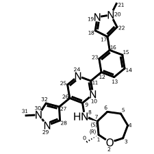 C[C@H]1OCCCC[C@@H]1Nc1nc(-c2cccc(-c3cnn(C)c3)c2)ncc1-c1cnn(C)c1